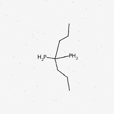 CCCC(P)(P)CCC